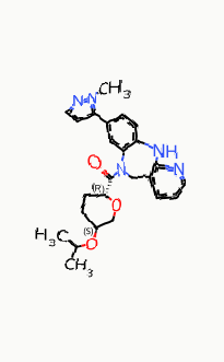 CC(C)O[C@H]1CC[C@H](C(=O)N2Cc3cccnc3Nc3ccc(-c4ccnn4C)cc32)OC1